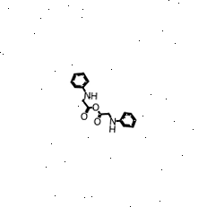 O=C(CNc1ccccc1)OC(=O)CNc1ccccc1